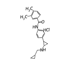 Cc1ccc(C(=O)Nc2ccc(C3CC3NCC3CC3)cc2)cc1C.Cl